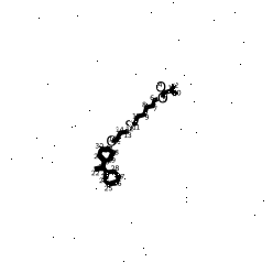 C=C(C)C(=O)OCCCCCCSCCCOc1ccc(C(=C)c2ccccc2)cc1